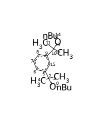 CCCCOC(C)(C)c1cccc(C(C)(C)OCCCC)c1